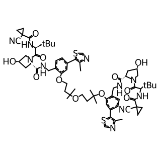 Cc1ncsc1-c1ccc(CNC(=O)[C@@H]2C[C@@H](O)CN2C(=O)[C@@H](NC(=O)C2(C#N)CC2)C(C)(C)C)c(OCCC(C)(C)OCCC(C)(C)Oc2cc(-c3scnc3C)ccc2CNC(=O)[C@@H]2C[C@@H](O)CN2C(=O)C(NC(=O)C2(C#N)CC2)C(C)(C)C)c1